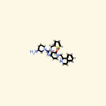 NC1CCCN(c2nc3ccn(Cc4nccc5ccccc45)c(=O)c3n2Cc2cccs2)C1